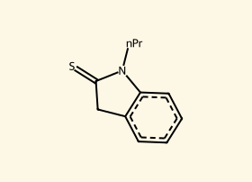 CCCN1C(=S)Cc2ccccc21